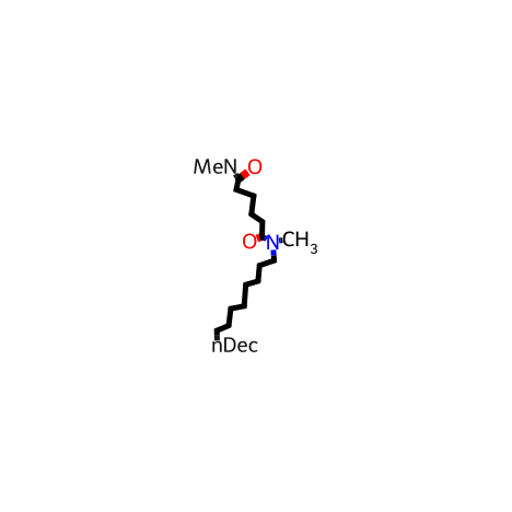 CCCCCCCCCCCCCCCCCCN(C)C(=O)CCCCC(=O)NC